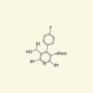 CCCCCc1c(C(C)C)nc(C(C)C)c(C(O)CC)c1-c1ccc(F)cc1